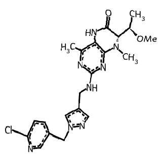 CO[C@H](C)[C@H]1C(=O)Nc2c(C)nc(NCc3cnn(Cc4ccc(Cl)nc4)c3)nc2N1C